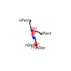 CCCCC/C=C\C/C=C\CCCCCC[C@@H](O)CN(CCCC(=O)OCCN1CCN(CCSSCCCN(CC(O)CCCCCCCCCC)CC(O)CCCCCCCCCC)CC1)C[C@H](O)CCCCCC/C=C\C/C=C\CCCCC